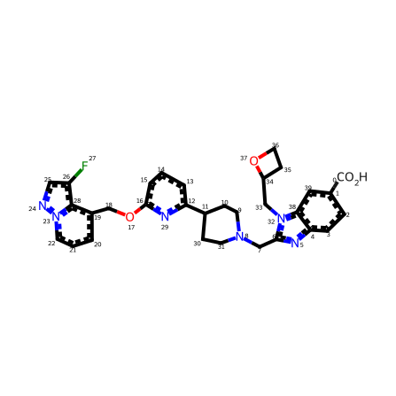 O=C(O)c1ccc2nc(CN3CCC(c4cccc(OCc5cccn6ncc(F)c56)n4)CC3)n(CC3CCO3)c2c1